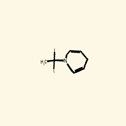 CC(I)(I)N1C=CCC=C1